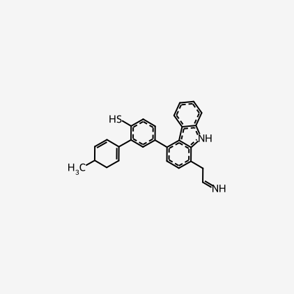 CC1C=CC(c2cc(-c3ccc(CC=N)c4[nH]c5ccccc5c34)ccc2S)=CC1